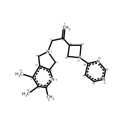 C=C([CH]N1Cc2nc(C)c(C)c(C)c2C1)C1CN(c2ccncn2)C1